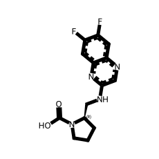 O=C(O)N1CCC[C@@H]1CNc1cnc2cc(F)c(F)cc2n1